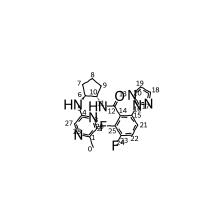 Cc1cnc(N[C@H]2CCC[C@@H]2NC(=O)c2c(-n3nccn3)ccc(F)c2F)cn1